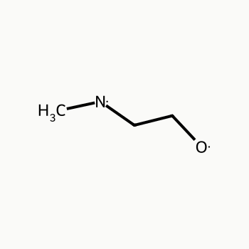 C[N]CC[O]